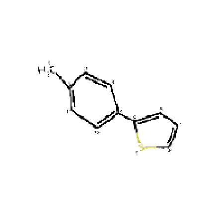 Cc1ccc(-c2cccs2)cc1